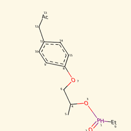 CC[PH](=O)OC(C)COc1ccc(CC(C)=O)cc1